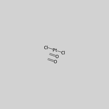 C=O.C=O.[Cl][Pt][Cl]